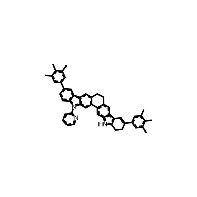 Cc1cc(C2=Cc3c([nH]c4cc5c(cc34)CCc3cc4c6cc(-c7cc(C)c(C)c(C)c7)ccc6n(-c6ccccn6)c4cc3-5)CC2)cc(C)c1C